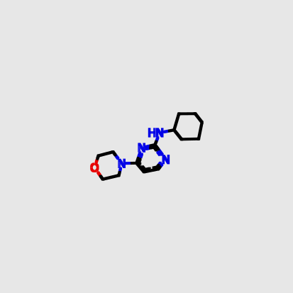 c1cc(N2CCOCC2)nc(NC2CCCCC2)n1